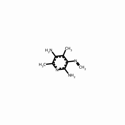 C=Nc1c(N)nc(C)c(N)c1C